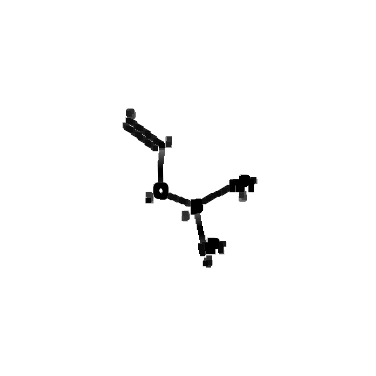 C=COB(CCC)CCC